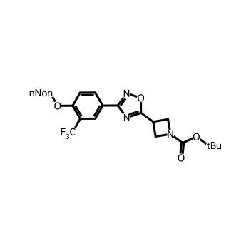 CCCCCCCCCOc1ccc(-c2noc(C3CN(C(=O)OC(C)(C)C)C3)n2)cc1C(F)(F)F